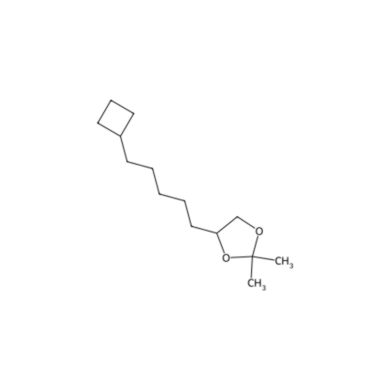 CC1(C)OCC(CCCCCC2CCC2)O1